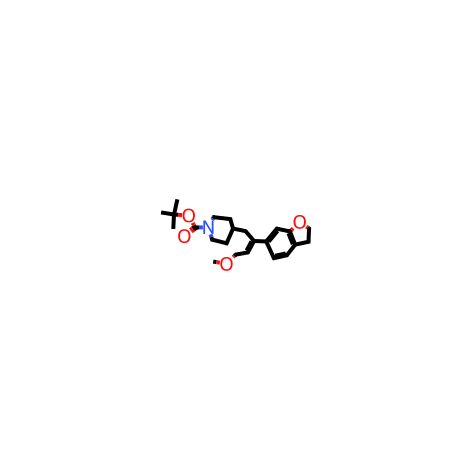 COCC=C(CC1CCN(C(=O)OC(C)(C)C)CC1)c1ccc2c(c1)OCC2